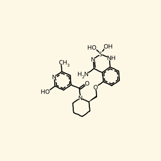 Cc1cc(C(=O)N2CCCC[C@@H]2COc2cccc3c2C(N)=NS(O)(O)N3)cc(O)n1